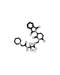 CC(C)(NC(=O)CN1CCCCC1)C(=O)OCN1C(=O)CCC(N2C(=O)c3ccccc3C2=O)C1=O